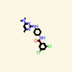 Cc1cc(N(C)C)nc(N[C@H]2CC[C@@H](NC(=O)c3cc(Cl)cc(Cl)c3)CC2)n1